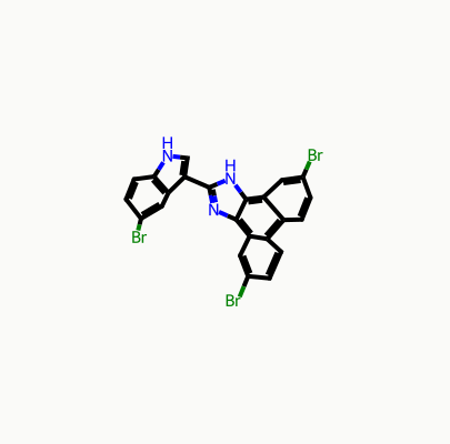 Brc1ccc2[nH]cc(-c3nc4c5cc(Br)ccc5c5ccc(Br)cc5c4[nH]3)c2c1